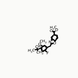 COC(=O)c1ccc2oc(Cc3cc(OC)c(C(C)(C)C)cc3F)nc2c1